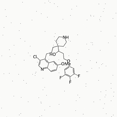 COc1ccc2ncc(Cl)c(CCCC3(C(O)CCOc4cc(F)c(F)c(F)c4)CCNCC3)c2c1